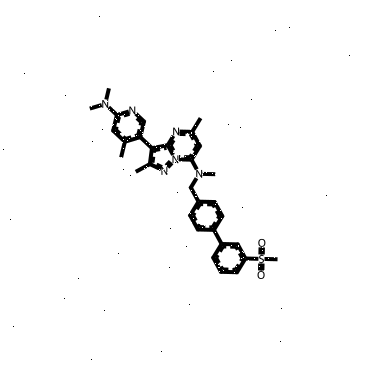 Cc1cc(N(C)Cc2ccc(-c3cccc(S(C)(=O)=O)c3)cc2)n2nc(C)c(-c3cnc(N(C)C)cc3C)c2n1